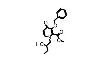 CCC(O)Cn1ccc(=O)c(OCc2ccccc2)c1C(=O)OC